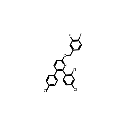 Fc1ccc(COc2ccc(-c3ccc(Cl)cc3)c(-c3ccc(Cl)cc3Cl)n2)cc1F